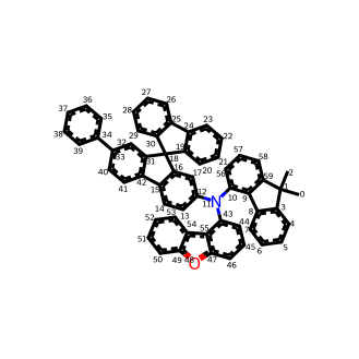 CC1(C)c2ccccc2-c2c(N(c3ccc4c(c3)C3(c5ccccc5-c5ccccc53)c3cc(-c5ccccc5)ccc3-4)c3cccc4oc5ccccc5c34)cccc21